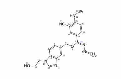 C=N/N=C(\OCc1ccc2c(c1)ncn2CCO)c1ccc(NC(C)C)c(C#N)c1